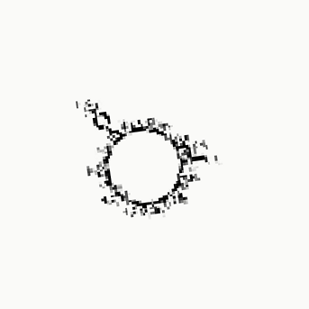 C/C=C/C[C@@H](C)[C@@H](O)[C@H]1C(=O)N[C@@H](CC)C(=O)N(C)[C@H](C)C(=O)N(C)C([C@@H](C)CN2CCN(S(C)(=O)=O)CC2)C(=O)N[C@@H](C(C)C)C(=O)N(C)[C@@H](CC(C)C)C(=O)N[C@@H](C)C(=O)N[C@H](C)C(=O)N(C)[C@@H](CC(C)C)C(=O)N(C)[C@@H](CC(C)C)C(=O)N(C)[C@@H](C(C)C)C(=O)N1C